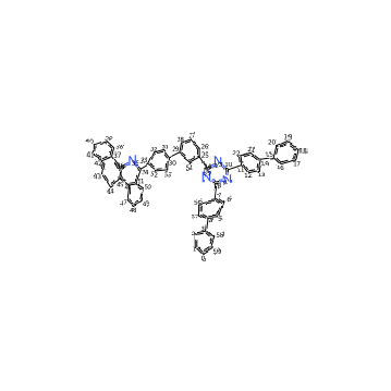 c1ccc(-c2ccc(-c3nc(-c4ccc(-c5ccccc5)cc4)nc(-c4cccc(-c5ccc(-c6nc7c8ccccc8ccc7c7ccccc67)cc5)c4)n3)cc2)cc1